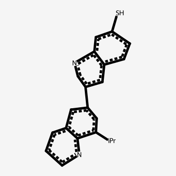 CC(C)c1cc(-c2cnc3cc(S)ccc3c2)cc2cccnc12